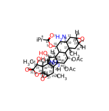 CC(=O)O[C@H]1C2C([C@@H](OC(=O)C(C)C)C[C@@]3(N)C[C@@H]4O[C@@H]4C[C@]23C)[C@@H]2[C@@H](O)[C@]3(N)[C@H]([C@H](C)[C@H]4O[C@]45OC(=O)[C@@](C)(O)[C@@]53C)[C@@]2(C)[C@H]1OC(C)=O